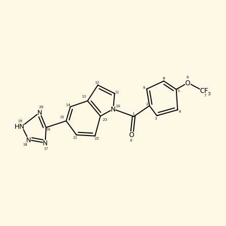 O=C(c1ccc(OC(F)(F)F)cc1)n1ccc2cc(-c3nn[nH]n3)ccc21